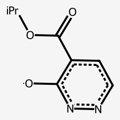 CC(C)OC(=O)c1ccnnc1[O]